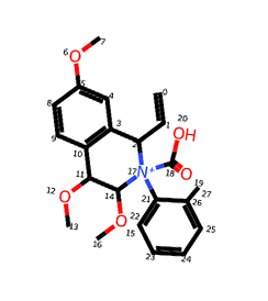 C=CC1c2cc(OC)ccc2C(OC)C(OC)[N+]1(C(=O)O)c1ccccc1C